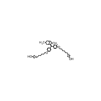 CC1CC2CC(C)C(=C(c3ccc(OCCCCCCN4CC(O)C4)cc3)c3ccc(OCCCCCCN4CC(O)C4)cc3)C(C1)C2